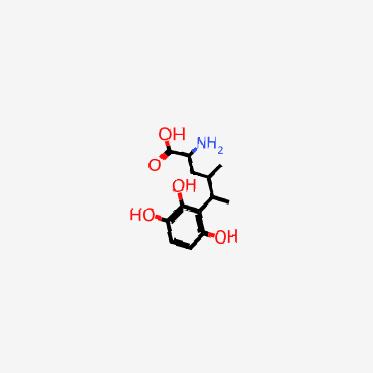 CC(CC(N)C(=O)O)C(C)c1c(O)ccc(O)c1O